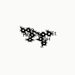 CCc1ccc(-c2ccc(OCCCCOc3ccc(-c4cc(C)ccc4C)cc3-c3cc(C)cc(-c4cc(C)ccc4C)c3O)c(-c3cc(C)cc(-c4cc(C)ccc4C)c3O)c2)c(C)c1